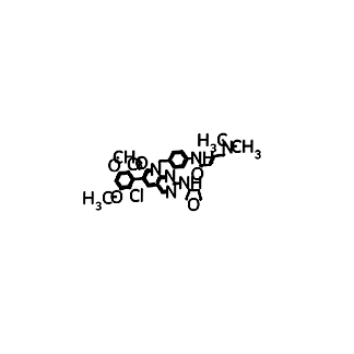 COc1cc(OC)c(Cl)c(-c2cc3cnc(N[C@H]4CCOC4)nc3n(Cc3ccc(NC(=O)/C=C/CN(C)C)cc3)c2=O)c1Cl